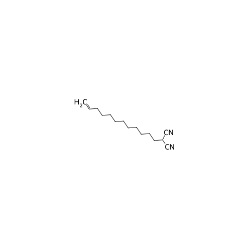 C=CCCCCCCCCCCC(C#N)C#N